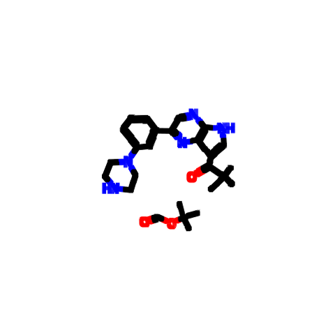 CC(C)(C)C(=O)c1c[nH]c2ncc(-c3cccc(N4CCNCC4)c3)nc12.CC(C)(C)OC=O